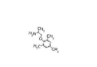 Cc1cc(C)c(OCC(C)N)c(C)c1